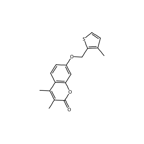 Cc1ccsc1COc1ccc2c(C)c(C)c(=O)oc2c1